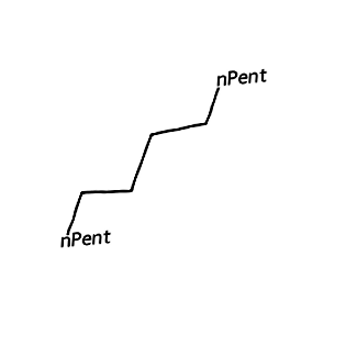 [CH2]C[CH]CCCCCCCCCC[CH2]